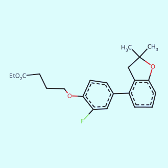 CCOC(=O)CCCOc1ccc(-c2cccc3c2CC(C)(C)O3)cc1F